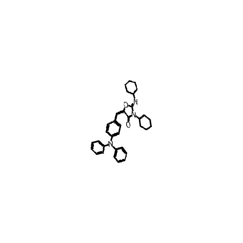 O=C1/C(=C\c2ccc(N(c3ccccc3)c3ccccc3)cc2)OC(=NC2CCCCC2)N1C1CCCCC1